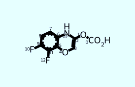 O=C(O)OC1=COc2c(ccc(F)c2F)N1